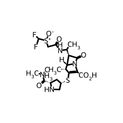 CC(NC(=O)C[S+]([O-])C(F)F)[C@H]1C(=O)N2C(C(=O)O)=C(S[C@@H]3CN[C@H](C(=O)N(C)C)C3)[C@H](C)[C@H]12